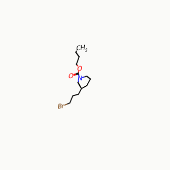 CCCCOC(=O)N1CCCC(CCCBr)C1